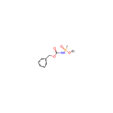 CCOP(C)(=O)NC(=O)OCc1ccccc1